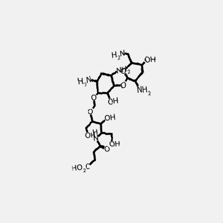 NCC1OC(OC2C(N)CC(N)C(OCOC(CO)C(O)C(CO)NC(=O)CCC(=O)O)C2O)C(N)CC1O